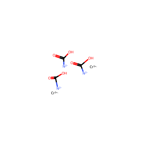 [Cr+3].[Cr+3].[N-2]C(=O)O.[N-2]C(=O)O.[N-2]C(=O)O